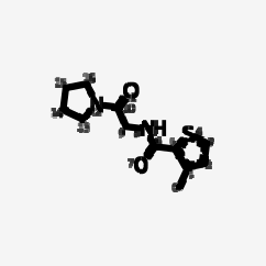 Cc1ccsc1C(=O)NCC(=O)N1CCCC1